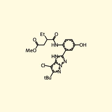 CCC(CC(=O)OC)C(=O)Nc1ccc(O)cc1-c1nn2nc(C(C)(C)C)c(Cl)c2[nH]1